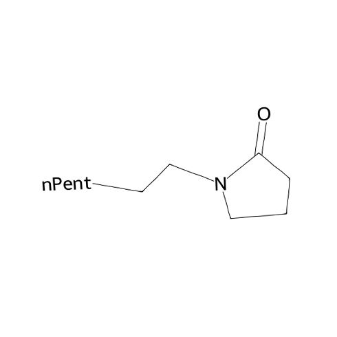 CCCCCCCN1CCCC1=O